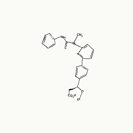 CCO[C@@H](CC(=O)O)c1ccc(-c2cccc(N(C)C(=O)Nc3ccccc3)n2)cc1